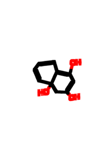 OC1=CC(O)=C2C=CC=CC2(O)C1